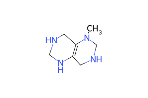 CN1CNCC2=C1CNCN2